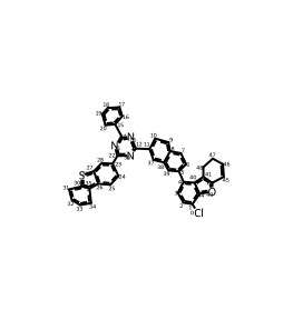 Clc1ccc(-c2ccc3ccc(-c4nc(-c5ccccc5)nc(-c5ccc6c(c5)sc5ccccc56)n4)cc3c2)c2c3c(oc12)C=CCC3